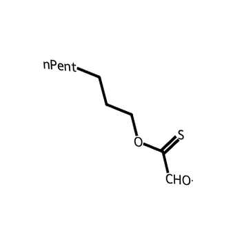 CCCCCCCCOC(=S)[C]=O